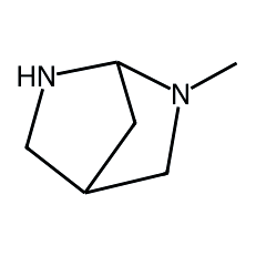 CN1CC2CNC1C2